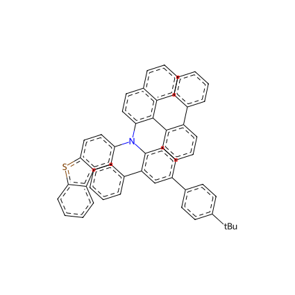 CC(C)(C)c1ccc(-c2ccc(N(c3ccc4sc5ccccc5c4c3)c3ccc4ccccc4c3-c3ccccc3-c3ccccc3)c(-c3ccccc3)c2)cc1